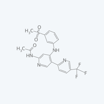 CC(=O)Nc1cc(Nc2cccc(S(C)(=O)=O)c2)c(-c2ccc(C(F)(F)F)cn2)cn1